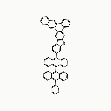 c1ccc(-c2c3ccccc3c(-c3c4ccccc4c(-c4ccc5c(c4)sc4cc6c7ccccc7c7cc8ccccc8cc7c6cc45)c4ccccc34)c3ccccc23)cc1